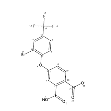 O=C(O)c1cc(Oc2ccc(C(F)(F)F)cc2Br)ccc1[N+](=O)[O-]